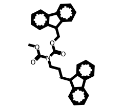 COC(=O)N(CC[CH]C1c2ccccc2-c2ccccc21)C(=O)OCC1c2ccccc2-c2ccccc21